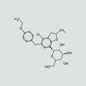 CCOc1ccc(Cc2cc([C@@H]3OC(CO)[C@@H](O)[C@H](O)[C@H]3O)c3c(c2Cl)CC(C)O3)cc1